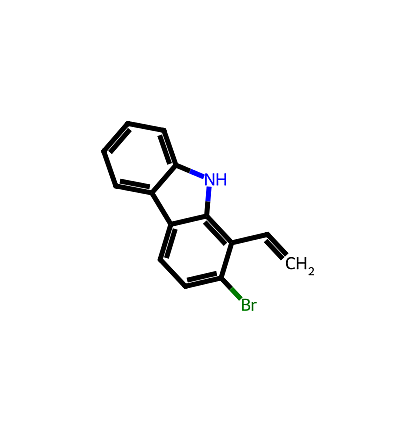 C=Cc1c(Br)ccc2c1[nH]c1ccccc12